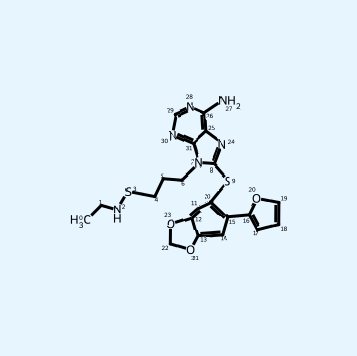 CCNSCCCn1c(Sc2cc3c(cc2-c2ccco2)OCO3)nc2c(N)ncnc21